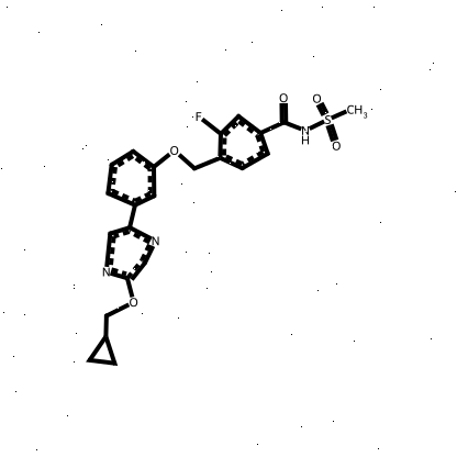 CS(=O)(=O)NC(=O)c1ccc(COc2cccc(-c3cnc(OCC4CC4)cn3)c2)c(F)c1